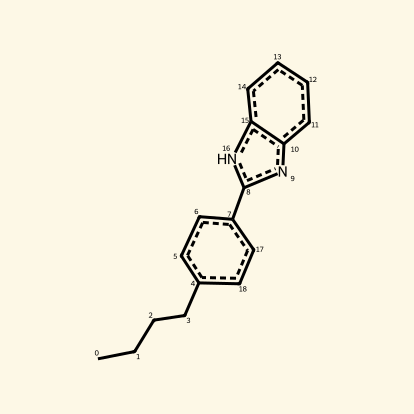 CCCCc1ccc(-c2nc3ccccc3[nH]2)cc1